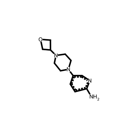 Nc1ccc(N2CCN(C3COC3)CC2)cn1